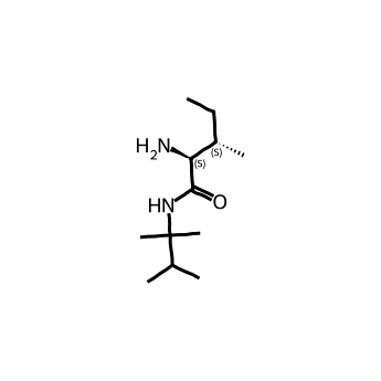 CC[C@H](C)[C@H](N)C(=O)NC(C)(C)C(C)C